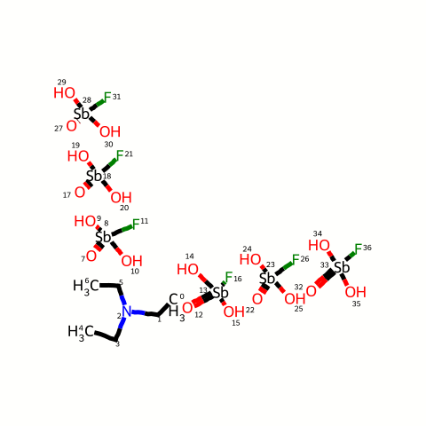 CCN(CC)CC.[O]=[Sb]([OH])([OH])[F].[O]=[Sb]([OH])([OH])[F].[O]=[Sb]([OH])([OH])[F].[O]=[Sb]([OH])([OH])[F].[O]=[Sb]([OH])([OH])[F].[O]=[Sb]([OH])([OH])[F]